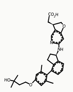 Cc1cc(OCCC(C)(C)O)cc(C)c1-c1cccc2c1CC[C@H]2Nc1cc2c(cn1)[C@@H](CC(=O)O)CO2